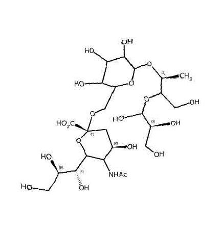 CC(=O)NC1C([C@H](O)[C@H](O)CO)O[C@@](OCC2OC(O[C@@H](C)C(CO)OC(O)[C@@H](O)CO)C(O)C(O)C2O)(C(=O)O)C[C@H]1O